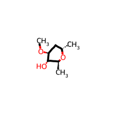 CO[C@H]1C[C@H](C)O[C@@H](C)[C@@H]1O